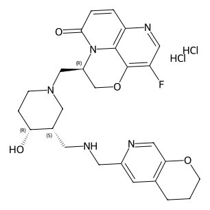 Cl.Cl.O=c1ccc2ncc(F)c3c2n1[C@H](CN1CC[C@@H](O)[C@@H](CNCc2cc4c(cn2)OCCC4)C1)CO3